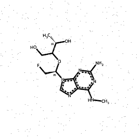 CNc1nc(N)nc2c1ncn2[C@@H](CF)OC(CO)[C@H](C)O